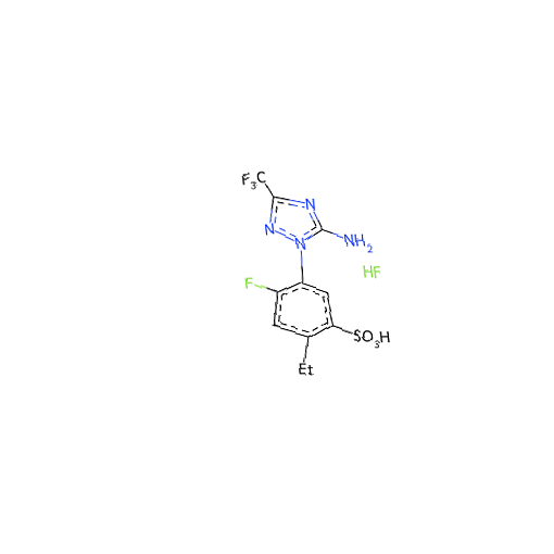 CCc1cc(F)c(-n2nc(C(F)(F)F)nc2N)cc1S(=O)(=O)O.F